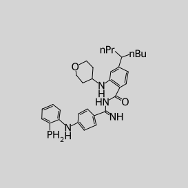 CCCCC(CCC)c1ccc(C(=O)NC(=N)c2ccc(Nc3ccccc3P)cc2)c(NC2CCOCC2)c1